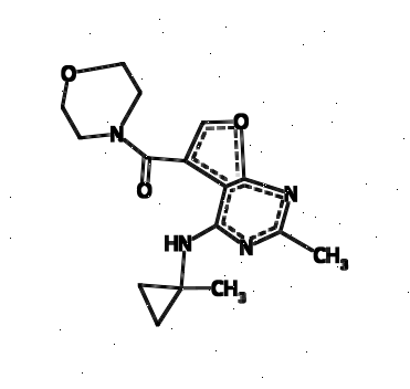 Cc1nc(NC2(C)CC2)c2c(C(=O)N3CCOCC3)coc2n1